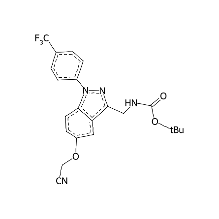 CC(C)(C)OC(=O)NCc1nn(-c2ccc(C(F)(F)F)cc2)c2ccc(OCC#N)cc12